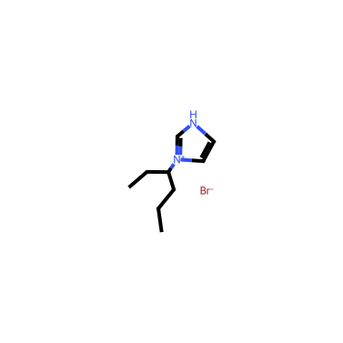 CCCC(CC)[n+]1cc[nH]c1.[Br-]